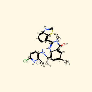 Cc1cc([C@@H](C)Nc2ccc(Cl)nc2C(=O)O)c2nc(-c3cccc4ncsc34)n(C)c(=O)c2c1